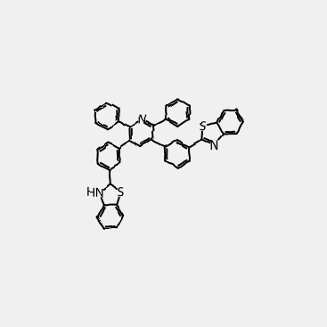 c1ccc(-c2nc(-c3ccccc3)c(-c3cccc(C4Nc5ccccc5S4)c3)cc2-c2cccc(-c3nc4ccccc4s3)c2)cc1